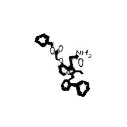 CCc1c(CC(N)=O)c2c(OCC(=O)OCc3ccccc3)cccn2c1Cc1ccccc1-c1ccccc1